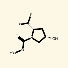 CC(C)(C)OC(=O)N1C[C@@H](O)C[C@H]1C(F)F